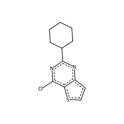 Clc1nc(C2CCCCC2)nc2ccsc12